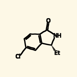 CC[C@H]1NC(=O)c2ccc(Cl)cc21